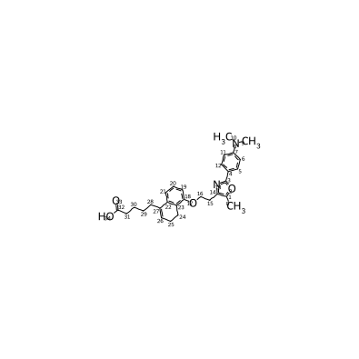 Cc1oc(-c2ccc(N(C)C)cc2)nc1CCOc1cccc2c1CCC=C2CCCCC(=O)O